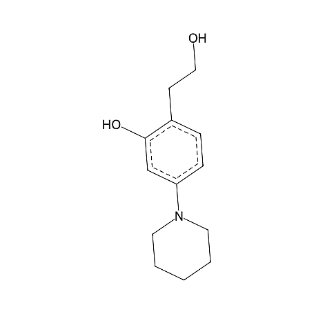 OCCc1ccc(N2CCCCC2)cc1O